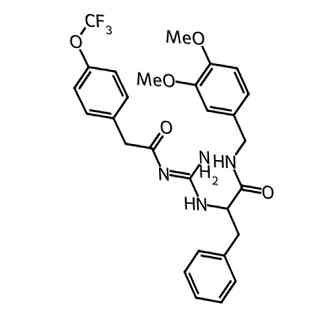 COc1ccc(CNC(=O)C(Cc2ccccc2)NC(N)=NC(=O)Cc2ccc(OC(F)(F)F)cc2)cc1OC